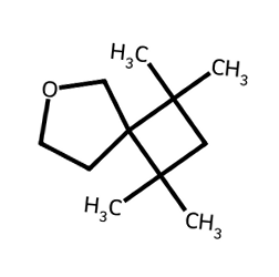 CC1(C)CC(C)(C)C12CCOC2